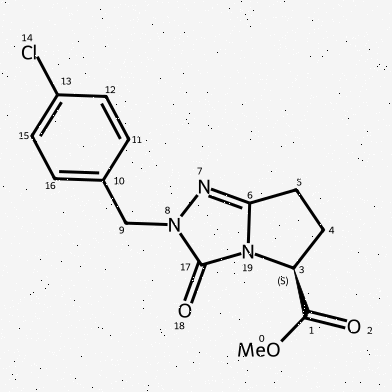 COC(=O)[C@@H]1CCc2nn(Cc3ccc(Cl)cc3)c(=O)n21